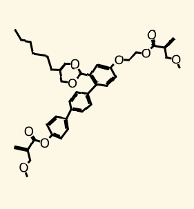 C=C(COC)C(=O)OCCOc1ccc(-c2ccc(-c3ccc(OC(=O)C(=C)COC)cc3)cc2)c(C2OCC(CCCCCC)CO2)c1